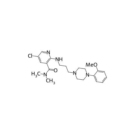 COc1ccccc1N1CCN(CCCNc2ncc(Cl)cc2C(=O)N(C)C)CC1